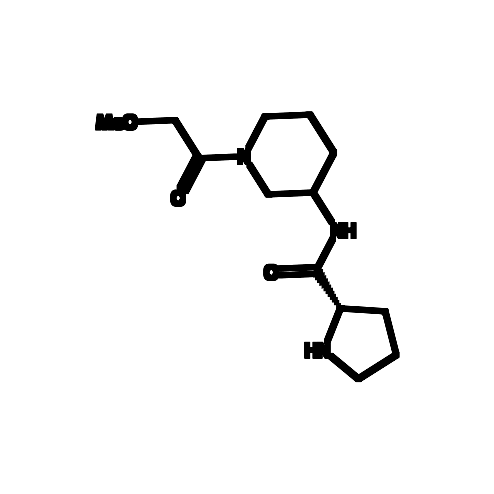 COCC(=O)N1CCCC(NC(=O)[C@@H]2CCCN2)C1